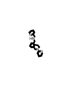 c1ccc(CNCc2cccc3c2CCN(c2ccccn2)C3)nc1